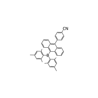 Cc1cc(C)c(B(c2c(C)cc(C)cc2C)c2c3ccccc3c(-c3ccc(C#N)cc3)c3ccccc23)c(C)c1